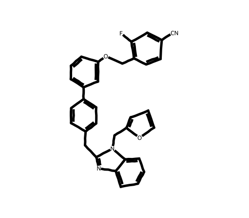 N#Cc1ccc(COc2cccc(-c3ccc(Cc4nc5ccccc5n4Cc4ccco4)cc3)c2)c(F)c1